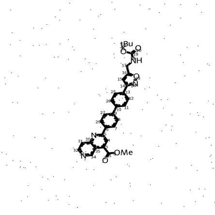 COC(=O)c1cc(-c2ccc(-c3ccc(-c4cc(CNC(=O)OC(C)(C)C)on4)cc3)cc2)nc2ccncc12